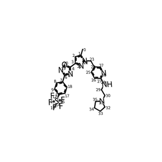 Cc1cc(-c2nc(-c3ccc(S(F)(F)(F)(F)F)cc3)no2)nn1Cc1ccc(NCCN2CCCC2)nc1